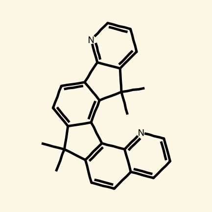 CC1(C)c2ccc3c(c2-c2c1ccc1cccnc21)C(C)(C)c1cccnc1-3